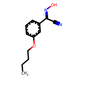 CCCCOc1cccc(/C(C#N)=N/O)c1